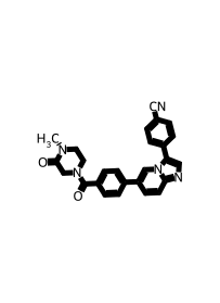 CN1CCN(C(=O)c2ccc(-c3ccc4ncc(-c5ccc(C#N)cc5)n4c3)cc2)CC1=O